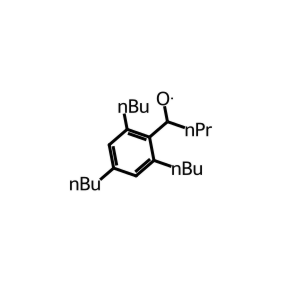 CCCCc1cc(CCCC)c(C([O])CCC)c(CCCC)c1